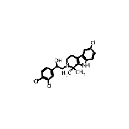 CC1(C)c2[nH]c3ccc(Cl)cc3c2CCN1CC(O)c1ccc(Cl)c(Cl)c1